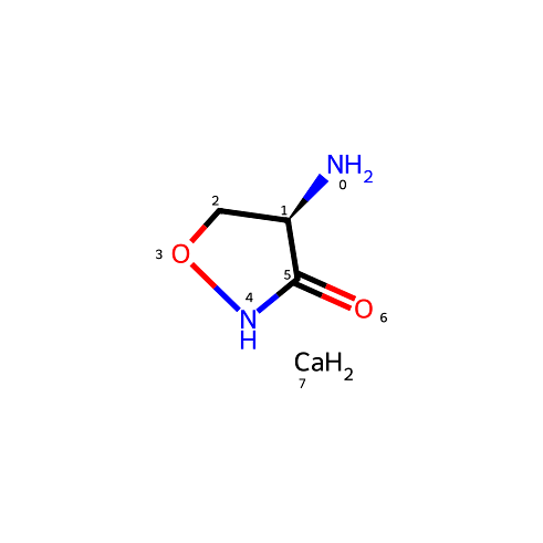 N[C@@H]1CONC1=O.[CaH2]